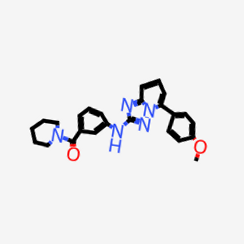 COc1ccc(-c2cccc3nc(Nc4cccc(C(=O)N5CCCCC5)c4)nn23)cc1